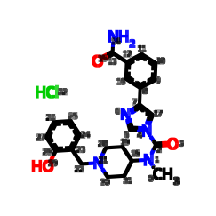 CN(C(=O)n1cnc(-c2cccc(C(N)=O)c2)c1)C1CCN(Cc2ccccc2O)CC1.Cl